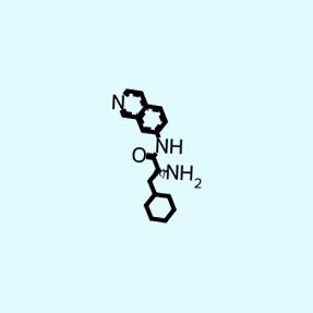 N[C@H](CC1CCCCC1)C(=O)Nc1ccc2ccncc2c1